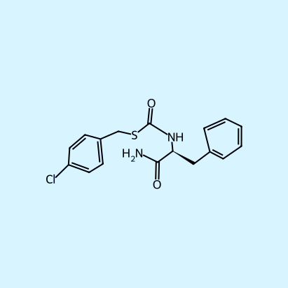 NC(=O)[C@H](Cc1ccccc1)NC(=O)SCc1ccc(Cl)cc1